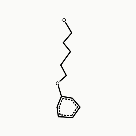 [O]CCCCCOc1ccccc1